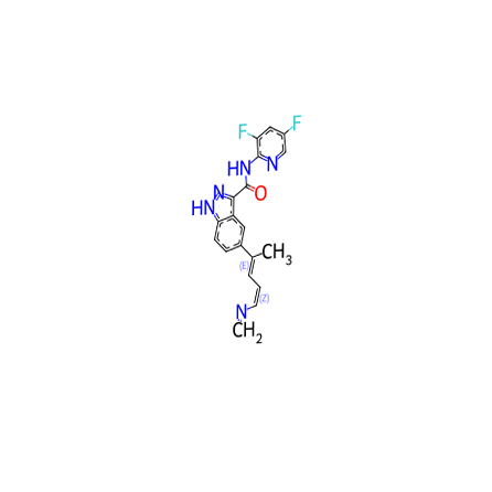 C=N/C=C\C=C(/C)c1ccc2[nH]nc(C(=O)Nc3ncc(F)cc3F)c2c1